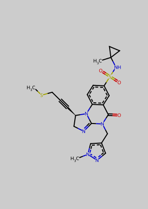 CSCC#C[C@@H]1CN=C2N(Cc3cnn(C)c3)C(=O)c3cc(S(=O)(=O)NC4(C)CC4)ccc3N21